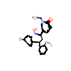 CCn1cc(C(CC(c2ccc(Br)cc2)c2ccccc2C)=NO)ccc1=O